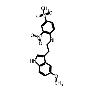 COc1ccc2[nH]cc(CCNc3ccc(S(C)(=O)=O)cc3[N+](=O)[O-])c2c1